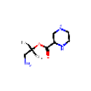 CC(C)(CN)OC(=O)C1CNCCN1